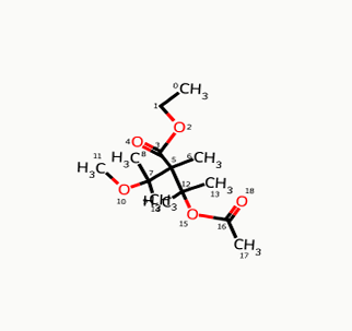 CCOC(=O)C(C)(C(C)(C)OC)C(C)(C)OC(C)=O